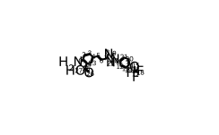 Nc1ccc(/C=C/c2ncn(-c3ccc(OC(F)(F)F)cc3)n2)cc1C(=O)O